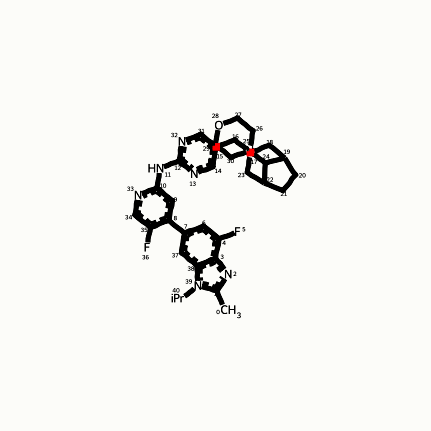 Cc1nc2c(F)cc(-c3cc(Nc4ncc(CN5CC6CCC(C5)C6N5CCOCC5)cn4)ncc3F)cc2n1C(C)C